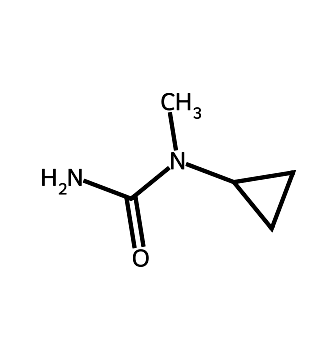 CN(C(N)=O)C1CC1